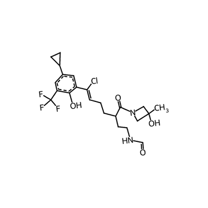 CC1(O)CN(C(=O)C(CC/C=C(\Cl)c2cc(C3CC3)cc(C(F)(F)F)c2O)CCNC=O)C1